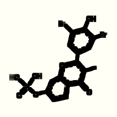 Cc1c(-c2cc(Br)c(O)c(Br)c2)oc2cc(OP(=O)(O)O)ccc2c1=O